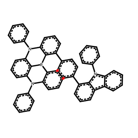 c1ccc(N2c3ccccc3B3c4c(-c5ccc(-c6cccc7c8ccccc8n(-c8ccccc8)c67)cc5)cccc4N(c4ccccc4)c4cccc2c43)cc1